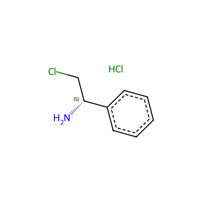 Cl.N[C@H](CCl)c1ccccc1